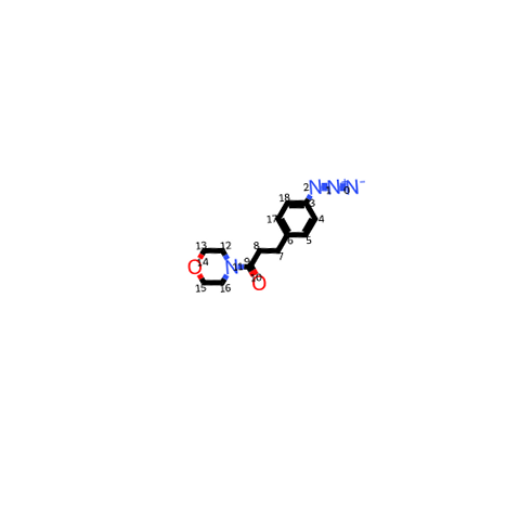 [N-]=[N+]=Nc1ccc(CCC(=O)N2CCOCC2)cc1